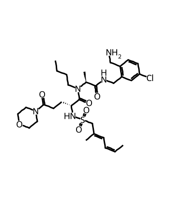 C/C=C\C=C(/C)CS(=O)(=O)N[C@H](CCC(=O)N1CCOCC1)C(=O)N(CCCC)[C@@H](C)C(=O)NCc1cc(Cl)ccc1CN